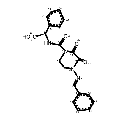 O=C(O)[C@H](NC(=O)N1CCN(N=Cc2ccccc2)C(=O)C1=O)c1ccccc1